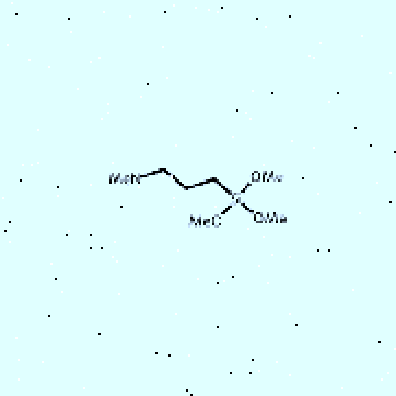 CNCCC[Si](OC)(OC)OC